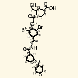 CCC1CC(C(=O)O)CCN1C(=O)COc1c(Br)cc(C=NNC(=O)c2cccc(Oc3ccccc3)c2)cc1Br